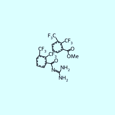 COC(=O)c1cccc(C(F)(F)F)c1C(F)(F)F.NC(N)=NC(=O)c1cccc(C(F)(F)F)c1C(F)(F)F